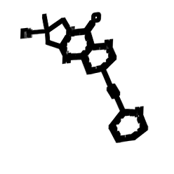 CCC1(C)Cc2nc3cc(C#Cc4ccccn4)cnc3c(=O)n2C1